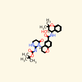 CC(C)(C)OC(=O)N=C1NCCC(=O)N1[C@@H]1CCOc2ccc(C(=O)N[C@@H]3c4ccccc4OC(C)(C)[C@H]3O)cc21